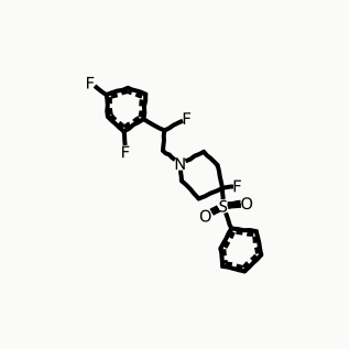 O=S(=O)(c1ccccc1)C1(F)CCN(CC(F)c2ccc(F)cc2F)CC1